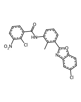 Cc1c(NC(=O)c2cccc([N+](=O)[O-])c2Cl)cccc1-c1nc2cc(Cl)ccc2o1